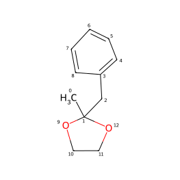 CC1(Cc2ccccc2)OCCO1